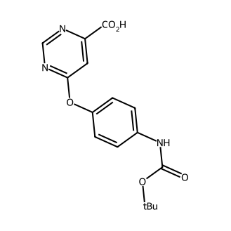 CC(C)(C)OC(=O)Nc1ccc(Oc2cc(C(=O)O)ncn2)cc1